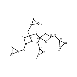 C1OC1CC1CC(CC2CO2)(OC2(CC3CO3)CC(CC3CO3)C2)C1